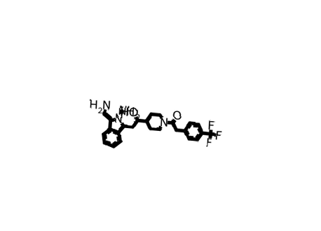 N/C=C1/c2ccccc2C(CC(O)C2CCN(C(=O)Cc3ccc(C(F)(F)F)cc3)CC2)N1N